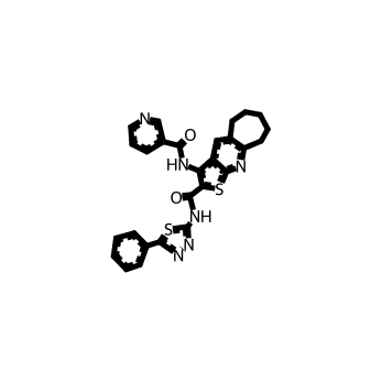 O=C(Nc1c(C(=O)Nc2nnc(-c3ccccc3)s2)sc2nc3c(cc12)CCCCC3)c1cccnc1